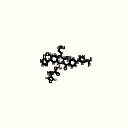 CC(C)(C)CCNC(=N)N(C(=O)c1ccc(-c2cnn(C(F)F)c2)cc1)[C@H](COC(=O)NC1COC1)c1ccc(Cl)c(-c2ncn[nH]2)c1